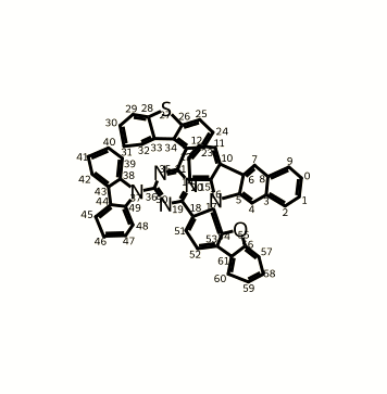 c1ccc2cc3c(cc2c1)c1ccccc1n3-c1c(-c2nc(-c3cccc4sc5ccccc5c34)nc(-n3c4ccccc4c4ccccc43)n2)ccc2c1oc1ccccc12